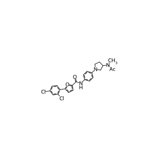 CC(=O)N(C)C1CCN(c2ccc(NC(=O)c3ccc(-c4ccc(Cl)cc4Cl)o3)cc2)C1